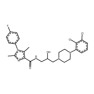 Cc1nc(C(=O)NCC(O)CN2CCN(c3cccc(Cl)c3Cl)CC2)c(C)n1-c1ccc(F)cc1